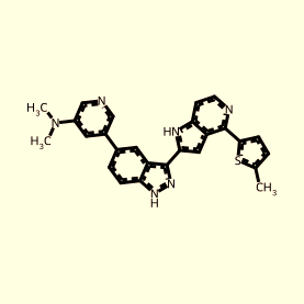 Cc1ccc(-c2nccc3[nH]c(-c4n[nH]c5ccc(-c6cncc(N(C)C)c6)cc45)cc23)s1